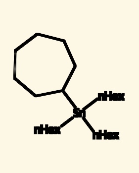 CCCCC[CH2][Sn]([CH2]CCCCC)([CH2]CCCCC)[CH]1CCCCCC1